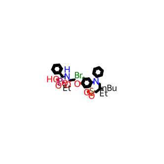 CCCCC1(CC)CN(c2ccccc2)c2cc(Br)c(OCC(=O)N[C@H](c3ccccc3)P(=O)(O)OCC)cc2S(=O)(=O)C1